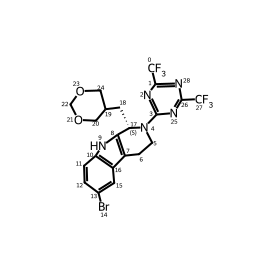 FC(F)(F)c1nc(N2CCc3c([nH]c4ccc(Br)cc34)[C@@H]2CC2COCOC2)nc(C(F)(F)F)n1